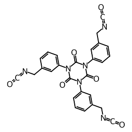 O=C=NCc1cccc(-n2c(=O)n(-c3cccc(CN=C=O)c3)c(=O)n(-c3cccc(CN=C=O)c3)c2=O)c1